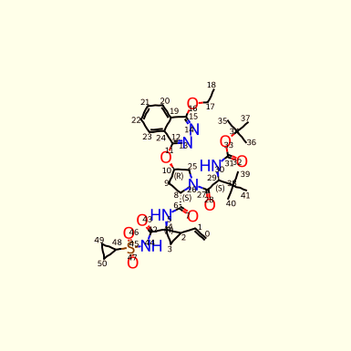 C=CC1C[C@]1(NC(=O)[C@@H]1C[C@@H](Oc2nnc(OCC)c3ccccc23)CN1C(=O)[C@@H](NC(=O)OC(C)(C)C)C(C)(C)C)C(=O)NS(=O)(=O)C1CC1